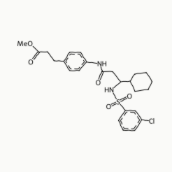 COC(=O)CCc1ccc(NC(=O)CC(NS(=O)(=O)c2cccc(Cl)c2)C2CCCCC2)cc1